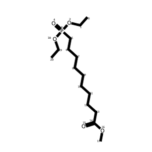 CCOP(=O)(CCCCCCCCCC(=O)OC)OCC